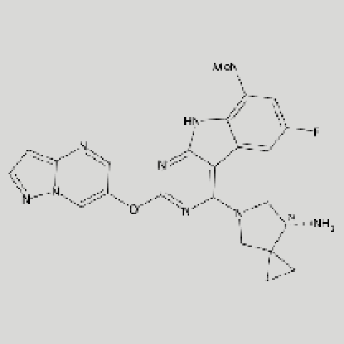 CNc1cc(F)cc2c1[nH]c1nc(Oc3cnc4ccnn4c3)nc(N3C[C@H](N)C4(CC4)C3)c12